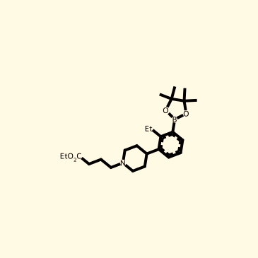 CCOC(=O)CCCN1CCC(c2cccc(B3OC(C)(C)C(C)(C)O3)c2CC)CC1